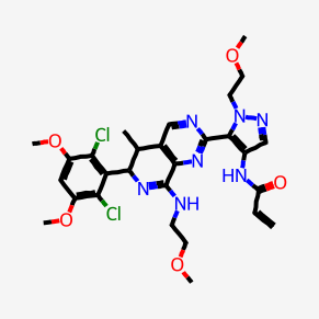 C=CC(=O)Nc1cnn(CCOC)c1-c1ncc2c(n1)C(NCCOC)=NC(c1c(Cl)c(OC)cc(OC)c1Cl)C2C